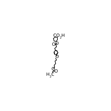 C=CC(=O)OCCCCCCOc1ccc(CCC(=O)O[C@H]2CC[C@H](C(=O)O)CC2)cc1